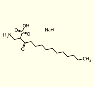 CCCCCCCCCCCC(=O)C(CN)S(=O)(=O)O.[NaH]